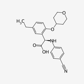 CCc1ccc(OC2CCOCC2)c([C@@H](Nc2ccc(C#N)cc2)C(=O)O)c1